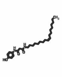 CCCCCCCC/C=C\CCCCCCCCNC(=O)CC(=O)Nc1ccc(O)cc1